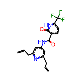 C=CCc1cc(NC(=O)c2ccc(C(F)(F)F)[nH]c2=O)cc(CC=C)n1